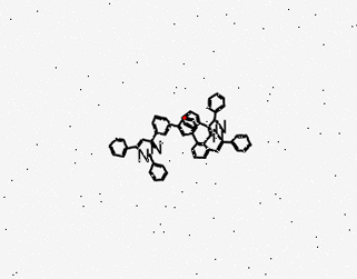 c1ccc(-c2cc(-c3cccc(-c4cccc(-c5cccc6cc(-c7ccccc7)n7nc(-c8ccccc8)c(-c8ccccc8)c7c56)c4)c3)nc(-c3ccccc3)n2)cc1